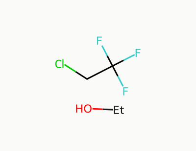 CCO.FC(F)(F)CCl